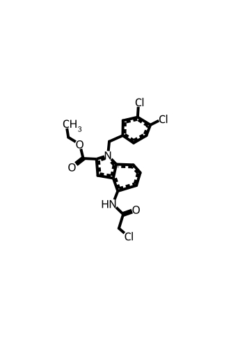 CCOC(=O)c1cc2c(NC(=O)CCl)cccc2n1Cc1ccc(Cl)c(Cl)c1